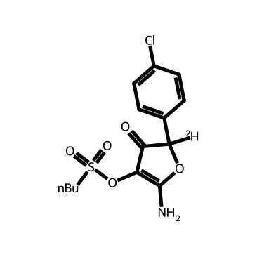 [2H]C1(c2ccc(Cl)cc2)OC(N)=C(OS(=O)(=O)CCCC)C1=O